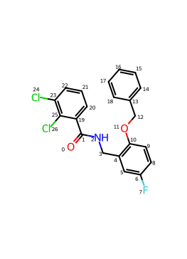 O=C(NCc1cc(F)ccc1OCc1ccccc1)c1cccc(Cl)c1Cl